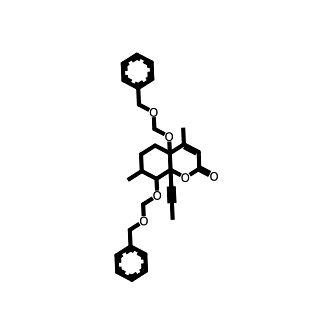 CC#CC12OC(=O)C=C(C)C1(OCOCc1ccccc1)CCC(C)C2OCOCc1ccccc1